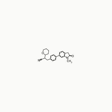 CN1C(=O)Cc2ccc(-c3ccc(CC(C#N)C4CCCCO4)cc3)cc21